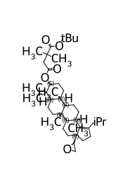 CC(C)C1=C2[C@H]3CC[C@@H]4[C@@]5(C)CC[C@H](OC(=O)CC(C)(C)C(=O)OC(C)(C)C)C(C)(C)[C@@H]5CC[C@@]4(C)[C@]3(C)CC[C@@]2(C2CO2)CC1